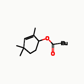 CCC(C)C(=O)OC1CCC(C)(C)C=C1C